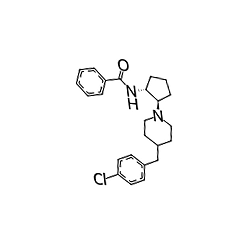 O=C(N[C@@H]1CCC[C@H]1N1CCC(Cc2ccc(Cl)cc2)CC1)c1ccccc1